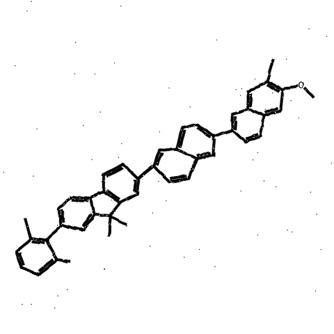 COc1cc2ccc(-c3ccc4cc(-c5ccc6c(c5)C(C)(C)c5cc(-c7c(C)cccc7C)ccc5-6)ccc4c3)cc2cc1C